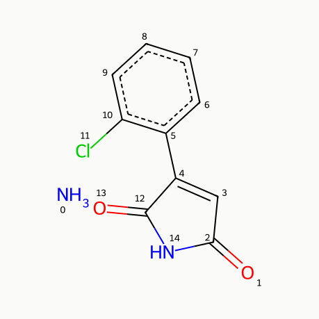 N.O=C1C=C(c2ccccc2Cl)C(=O)N1